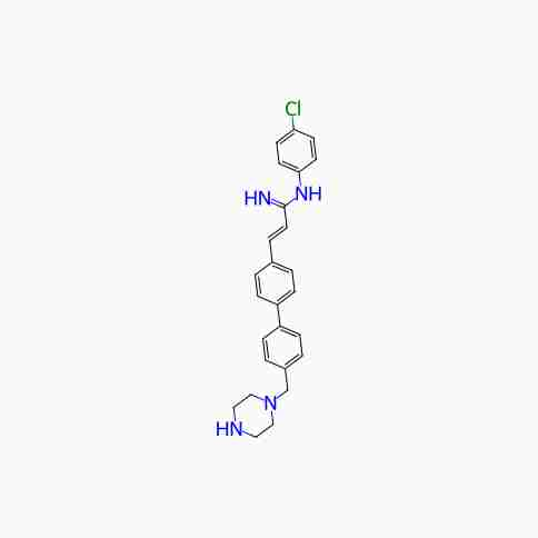 N=C(/C=C/c1ccc(-c2ccc(CN3CCNCC3)cc2)cc1)Nc1ccc(Cl)cc1